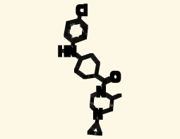 CC1CN(C2CC2)CCN1C(=O)C1CCC(Nc2ccc(Cl)cc2)CC1